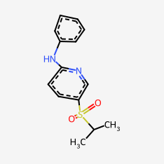 CC(C)S(=O)(=O)c1ccc(Nc2ccccc2)nc1